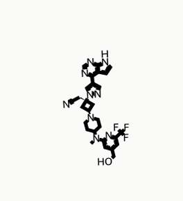 CN(c1cc(CO)cc(C(F)(F)F)n1)C1CCN([C@H]2C[C@@](CC#N)(n3cc(-c4ncnc5[nH]ccc45)cn3)C2)CC1